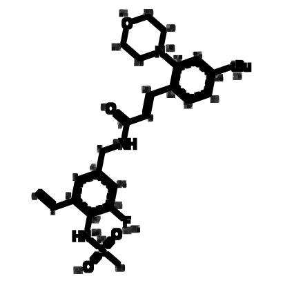 C=Cc1cc(CNC(=O)/C=C/c2ccc(C(C)(C)C)cc2N2CCOCC2)cc(F)c1NS(C)(=O)=O